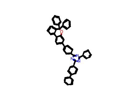 c1ccc(-c2ccc(-c3nc(-c4ccccc4)nc(-c4ccc(-c5ccc6c(c5)OC(c5ccccc5)(c5ccccc5)c5ccccc5-6)cc4)n3)cc2)cc1